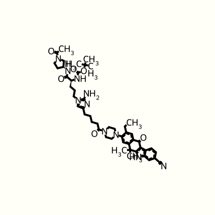 CCc1cc2c(cc1N1CCN(C(=O)CCCCc3cn(CCC[C@H](NC(=O)OC(C)(C)C)C(=O)N[C@@H]4CCN(C(C)=O)C4)c(N)n3)CC1)C(C)(C)c1[nH]c3cc(C#N)ccc3c1C2=O